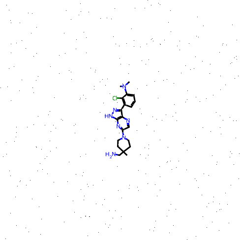 CN(C)c1cccc(-c2n[nH]c3nc(N4CCC(C)(CN)CC4)cnc23)c1Cl